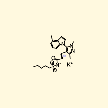 CCCCCS(=O)(=O)[N-]C(=O)/C=C/c1c(C)nn(C)c1-n1ccc2c(C)cccc21.[K+]